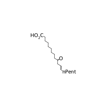 CCCCC/C=C/CC(=O)CCCCCCCCC(=O)O